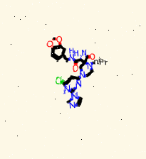 CCCN1CCN(c2cc(Cl)nc(-n3ccnc3)n2)CC1(CC(=O)NCc1ccc2c(c1)OCO2)C(N)=O